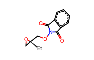 CC[C@@]1(CON2C(=O)c3ccccc3C2=O)CO1